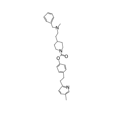 Cc1ccc(CCc2ccc(OC(=O)N3CCC(CCN(C)Cc4ccccc4)CC3)cc2)nc1